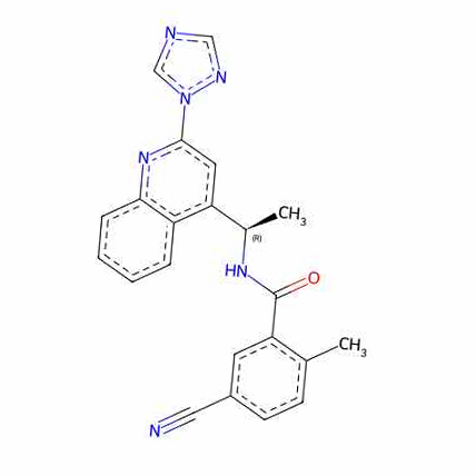 Cc1ccc(C#N)cc1C(=O)N[C@H](C)c1cc(-n2cncn2)nc2ccccc12